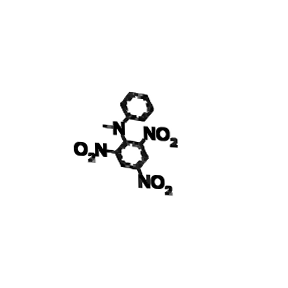 CN(c1ccccc1)c1c([N+](=O)[O-])cc([N+](=O)[O-])cc1[N+](=O)[O-]